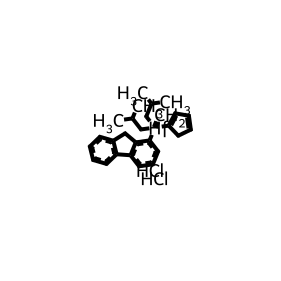 Cl.Cl.[CH2]=[Hf]([CH2]C(C)C)([CH2]C(C)C)([C]1=CC=CC1)[c]1cccc2c1Cc1ccccc1-2